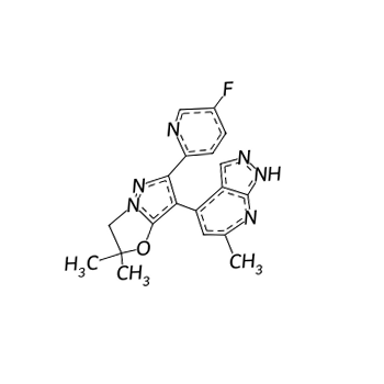 Cc1cc(-c2c(-c3ccc(F)cn3)nn3c2OC(C)(C)C3)c2cn[nH]c2n1